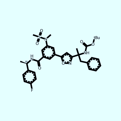 C[C@@H](NC(=O)c1cc(-c2cc(C(C)(Cc3ccccc3)NC(=O)OC(C)(C)C)no2)cc(N(C)S(C)(=O)=O)c1)c1ccc(F)cc1